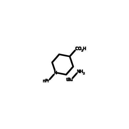 CC(C)(C)N.CCCN1CCC(C(=O)O)CC1